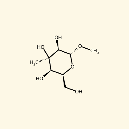 CO[C@@H]1O[C@@H](CO)[C@@H](O)[C@@](C)(O)[C@H]1O